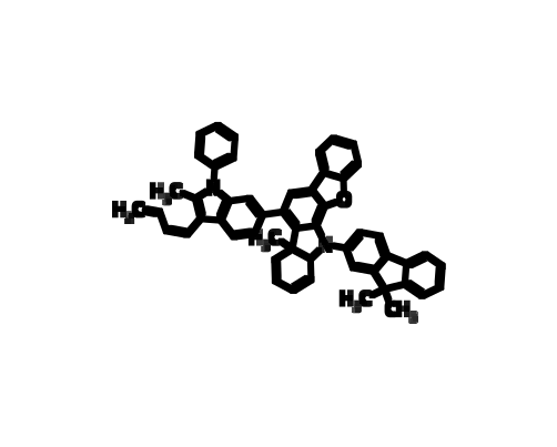 C=C/C=C\c1c(C)n(-c2ccccc2)c2cc(-c3cc4c(oc5ccccc54)c4c3C3(C)C=CC=CC3N4c3ccc4c(c3)C(C)(C)c3ccccc3-4)ccc12